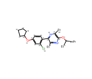 CCCC(CC)Oc1nc(CC)c(-c2ccc(OC3CCCC3)cc2Cl)nc1CC